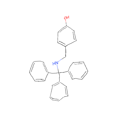 Oc1ccc(CNC(c2ccccc2)(c2ccccc2)c2ccccc2)cc1